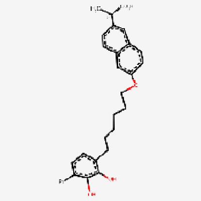 CC(C)c1ccc(CCCCCCOc2ccc3cc([C@@H](C)C(=O)O)ccc3c2)c(O)c1O